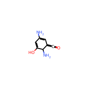 NC1=CC(=C=O)C(N)C(O)=C1